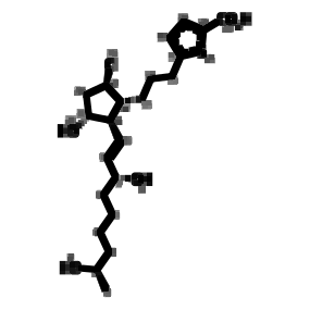 C[C@@H](O)CCCC[C@@H](O)C=C[C@@H]1[C@@H](CCCc2ccc(C(=O)O)s2)[C@H](Cl)C[C@H]1O